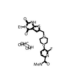 CCn1c(=O)[nH]c2sc(CN3CCN(c4ccc(C(=O)NC)nc4F)CC3)cc2c1=O.O=CO.O=CO